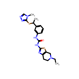 CCN1CCc2nc(NC(=O)Nc3cccc(C(C)Sc4nncn4C)c3)sc2C1